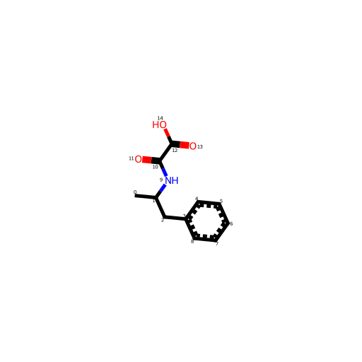 CC(Cc1ccccc1)NC(=O)C(=O)O